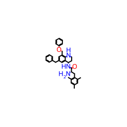 Cc1cc(C)c(C[C@H](N)C(=O)N[C@@H]2CCNc3c(COc4ccccc4)cc(Cc4ccccc4)cc32)c(C)c1